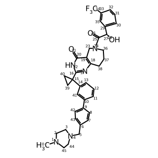 CN1CCN(Cc2ccc(-c3cccc(C4(c5nc6c(c(=O)[nH]5)CN(C(=O)[C@H](O)c5cccc(C(F)(F)F)c5)CCC6)CC4)c3)cc2)CC1